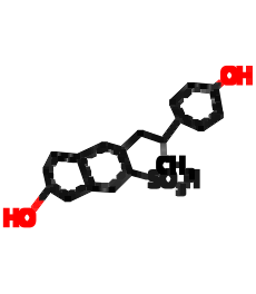 CC(Cc1cc2ccc(O)cc2cc1S(=O)(=O)O)c1ccc(O)cc1